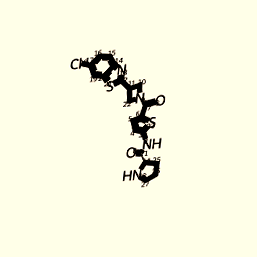 O=C(Nc1ccc(C(=O)N2CC(c3nc4ccc(Cl)cc4s3)C2)s1)[C@@H]1CCCN1